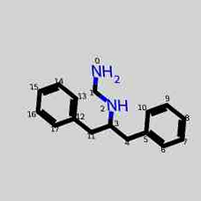 NCNC(Cc1ccccc1)Cc1ccccc1